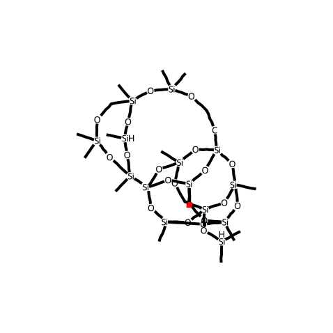 C[SiH](C)O[Si]12CO[Si]3(C)O[Si]45CCO[Si](C)(C)O[Si]6(C)CO[Si](C)(C)O[Si](C)(O[SiH](C)O6)[Si]6(O[Si](C)(CO[Si](C)(O[Si](C)(O1)O4)O[Si](C)(O2)O6)O5)O3